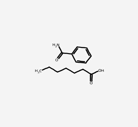 CCCCCCC(=O)O.NC(=O)c1ccccc1